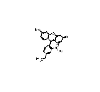 CCc1ccc(-c2c3ccc(=O)cc-3oc3cc(O)ccc23)c(C(=O)O)c1